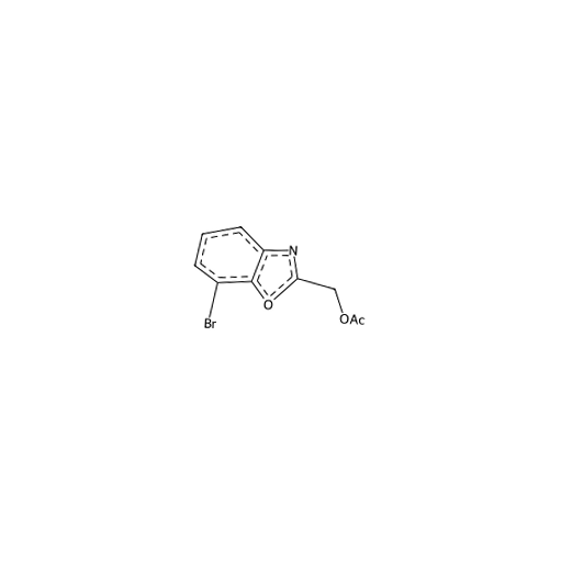 CC(=O)OCc1nc2cccc(Br)c2o1